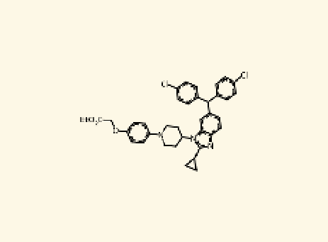 CCOC(=O)COc1ccc(N2CCC(n3c(C4CC4)nc4ccc(C(c5ccc(Cl)cc5)c5ccc(Cl)cc5)cc43)CC2)cc1